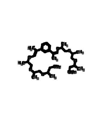 COCC(C)OCC(C)OCC(C)OC=C(C)c1cccc(/C(C)=C\OC(C)COC(C)COC(C)COC)c1